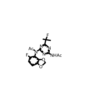 CC(=O)Nc1nc(N(C(C)=O)c2c(F)ccc3c2OCO3)nc(C(C)(C)F)n1